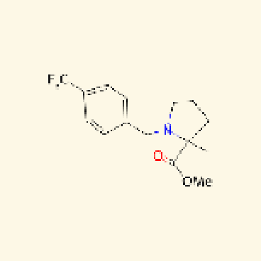 COC(=O)C1(C)CCCN1Cc1ccc(C(F)(F)F)cc1